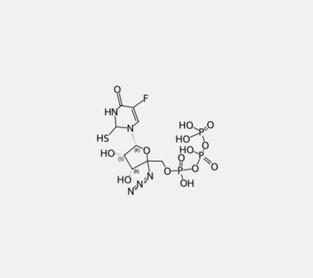 [N-]=[N+]=NC1(COP(=O)(O)OP(=O)(O)OP(=O)(O)O)O[C@@H](N2C=C(F)C(=O)NC2S)[C@@H](O)[C@H]1O